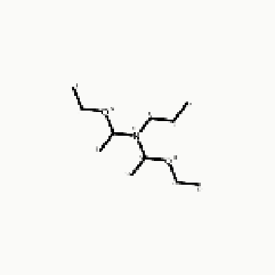 CC[CH]N(C(C)OCC)C(C)OCC